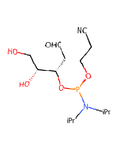 CC(C)N(C(C)C)P(OCCC#N)O[C@@H](CC=O)[C@H](O)CO